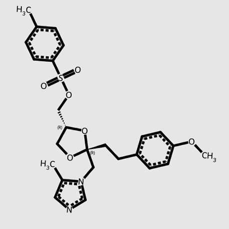 COc1ccc(CC[C@@]2(Cn3cncc3C)OC[C@H](COS(=O)(=O)c3ccc(C)cc3)O2)cc1